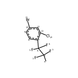 CC(F)(F)C(F)(F)c1ccc(Br)cc1Cl